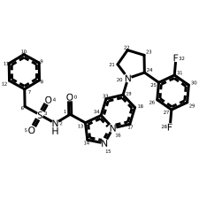 O=C(NS(=O)(=O)Cc1ccccc1)c1cnn2ccc(N3CCCC3c3cc(F)ccc3F)cc12